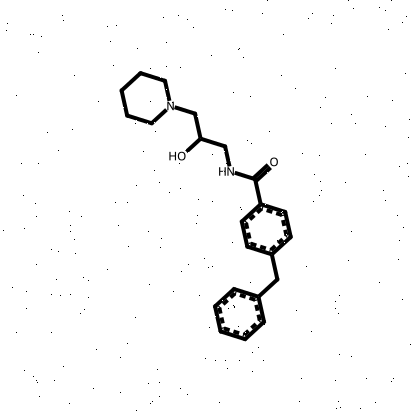 O=C(NCC(O)CN1CCCCC1)c1ccc(Cc2ccccc2)cc1